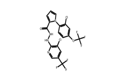 O=C(NNc1ncc(C(F)(F)F)cc1Cl)c1cccn1-c1ccc(OC(F)(F)F)cc1Cl